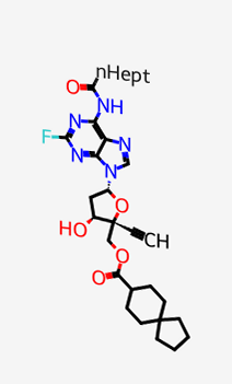 C#C[C@]1(COC(=O)C2CCC3(CCCC3)CC2)O[C@@H](n2cnc3c(NC(=O)CCCCCCC)nc(F)nc32)C[C@@H]1O